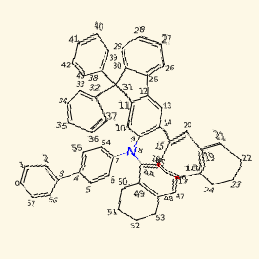 c1ccc(-c2ccc(N(c3cc4c(cc3-c3ccc5c(c3)CCCC5)-c3ccccc3C4(c3ccccc3)c3ccccc3)c3cccc4c3CCCC4)cc2)cc1